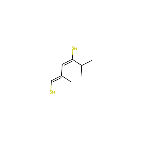 CC(=C\S)/C=C(/S)C(C)C